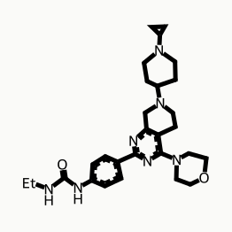 CCNC(=O)Nc1ccc(-c2nc3c(c(N4CCOCC4)n2)CCN(C2CCN(C4CC4)CC2)C3)cc1